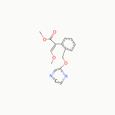 CO/C=C(/C(=O)OC)c1ccccc1COc1cnccn1